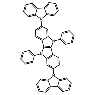 c1ccc(-n2c3cc(-n4c5ccccc5c5ccccc54)ccc3c3c2c2ccc(-n4c5ccccc5c5ccccc54)cc2n3-c2ccccc2)cc1